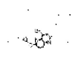 Brc1ccnc2ccc(OC3CC3)nc12